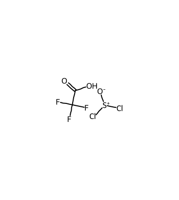 O=C(O)C(F)(F)F.[O-][S+](Cl)Cl